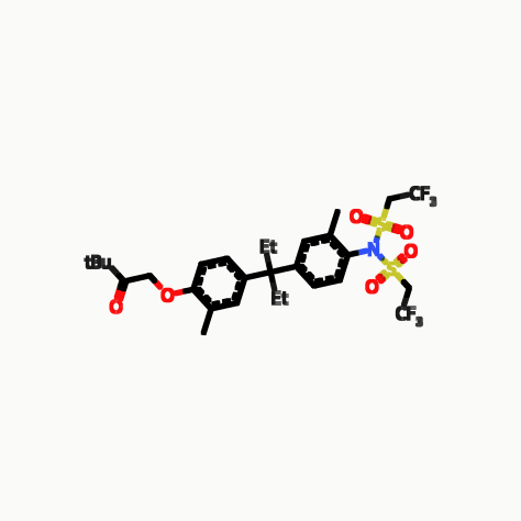 CCC(CC)(c1ccc(OCC(=O)C(C)(C)C)c(C)c1)c1ccc(N(S(=O)(=O)CC(F)(F)F)S(=O)(=O)CC(F)(F)F)c(C)c1